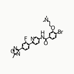 Cc1nc(-c2ccc(-c3ccc(NC(=O)c4ccc(Br)c(OCCN(C)C)c4)cn3)c(F)c2)no1